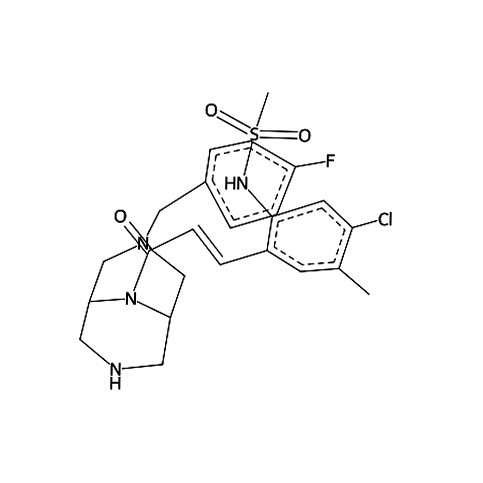 Cc1cc(/C=C/C(=O)N2C3CNCC2CN(Cc2ccc(F)cc2)C3)c(NS(C)(=O)=O)cc1Cl